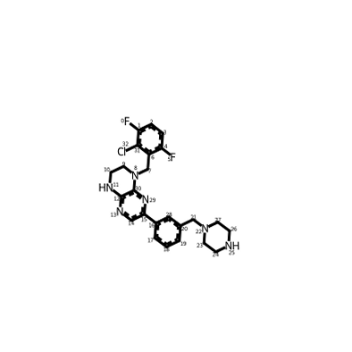 Fc1ccc(F)c(CN2CCNc3ncc(-c4cccc(CN5CCNCC5)c4)nc32)c1Cl